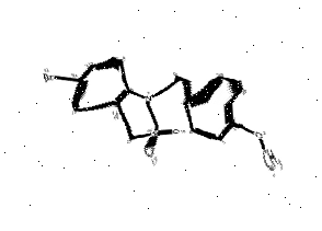 COc1ccc(CN2c3ccc(Br)cc3CS2(=O)=O)cc1